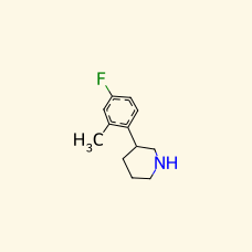 Cc1cc(F)ccc1C1CCCNC1